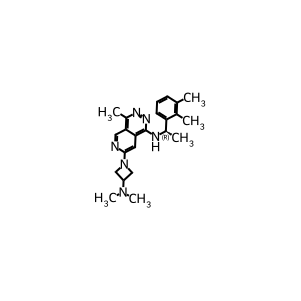 Cc1cccc([C@@H](C)Nc2nnc(C)c3cnc(N4CC(N(C)C)C4)cc23)c1C